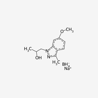 COc1ccc2c(C)nn(CC(C)O)c2c1.[BH4-].[Na+]